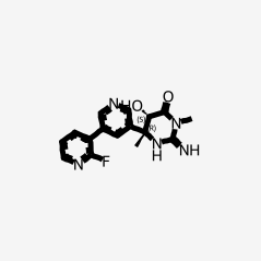 CN1C(=N)N[C@](C)(c2cncc(-c3cccnc3F)c2)[C@H](O)C1=O